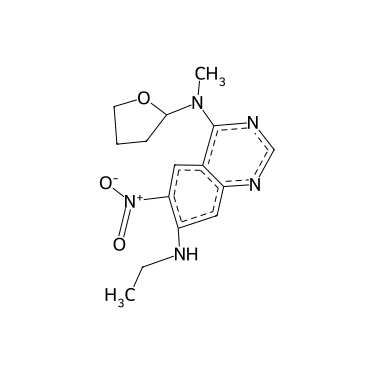 CCNc1cc2ncnc(N(C)C3CCCO3)c2cc1[N+](=O)[O-]